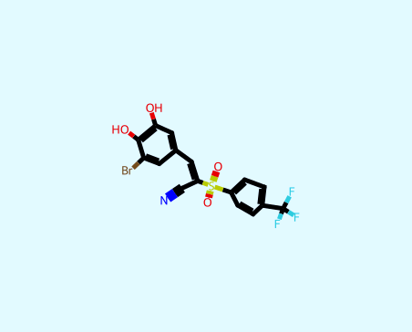 N#C/C(=C\c1cc(O)c(O)c(Br)c1)S(=O)(=O)c1ccc(C(F)(F)F)cc1